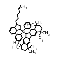 C=CCCCCC1CC([Si](c2ccccc2)(c2ccccc2)C2C3C=C4C(=CC3C3C=C5C(=CC32)C(C)(C)CCC5(C)C)C(C)(C)CCC4(C)C)C2C=CC=CC12